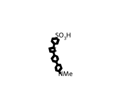 CNc1ccc(-c2ccc(-c3ccc(-c4ccc(S(=O)(=O)O)cc4)s3)cc2)cc1